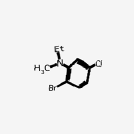 CCN(C)c1cc(Cl)ccc1Br